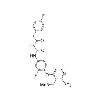 CNCc1c(Oc2ccc(NC(=O)NC(=O)Cc3ccc(F)cc3)cc2F)ccnc1N